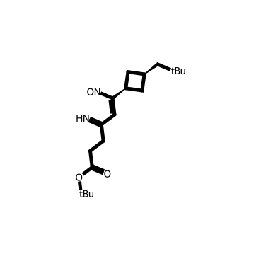 CC(C)(C)C[C@H]1C[C@@H](/C(=C/C(=N)CCC(=O)OC(C)(C)C)N=O)C1